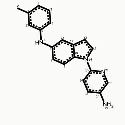 Cc1cccc(Nc2ccc3c(ccn3-c3ccc(N)cn3)c2)c1